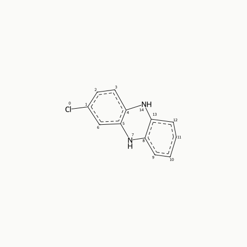 Clc1ccc2c(c1)Nc1ccccc1N2